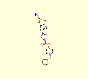 C[C@@H]1CN(c2nc3ccc(C#N)cc3s2)[C@@H](C)CN1C(=O)OC1CCN(Cc2ccccc2)CC1